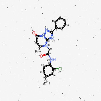 CCc1cc(=O)n2nc(-c3ccccc3)nc2n1CC(=O)Nc1ccc(C(F)(F)F)cc1Cl